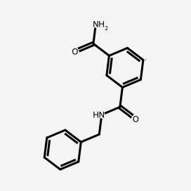 NC(=O)c1c[c]cc(C(=O)NCc2ccccc2)c1